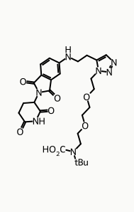 CC(C)(C)N(CCOCCOCCn1nncc1CCNc1ccc2c(c1)C(=O)N(C1CCC(=O)NC1=O)C2=O)C(=O)O